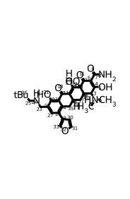 CN(C)C1C(O)=C(C(N)=O)C(=O)[C@@]2(O)C(O)=C3C(=O)c4c(O)c(CNCC(C)(C)C)cc(-c5ccoc5)c4C[C@H]3C[C@@H]12